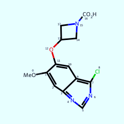 COc1cc2ncnc(Cl)c2cc1OC1CN(C(=O)O)C1